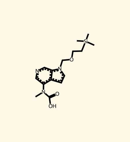 CN(C(=O)O)c1cncc2c1ccn2COCC[Si](C)(C)C